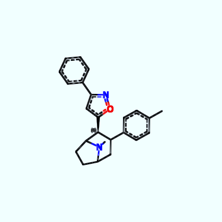 Cc1ccc(C2CC3CCC([C@H]2c2cc(-c4ccccc4)no2)N3C)cc1